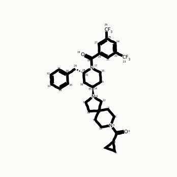 O=C(C1CC1)N1CCC2(CC1)CCN([C@@H]1CCN(C(=O)c3cc(C(F)(F)F)cc(C(F)(F)F)c3)[C@@H](Cc3ccccc3)C1)C2